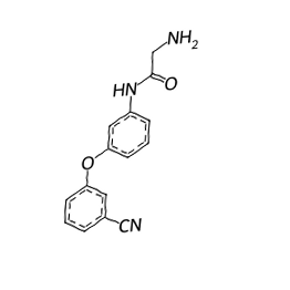 N#Cc1cccc(Oc2cccc(NC(=O)CN)c2)c1